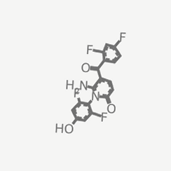 Nc1c(C(=O)c2ccc(F)cc2F)ccc(=O)n1-c1c(F)cc(O)cc1F